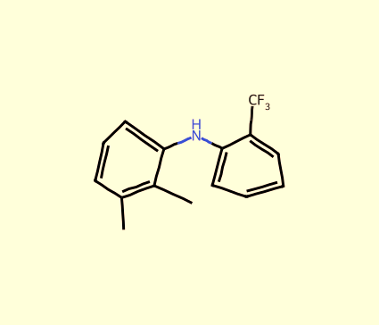 Cc1cccc(Nc2ccccc2C(F)(F)F)c1C